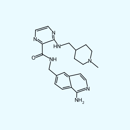 CN1CCC(CNc2nccnc2C(=O)NCc2ccc3c(N)nccc3c2)CC1